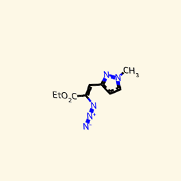 CCOC(=O)/C(=C/c1ccn(C)n1)N=[N+]=[N-]